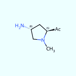 CC(=O)[C@@H]1C[C@@H](N)CN1C